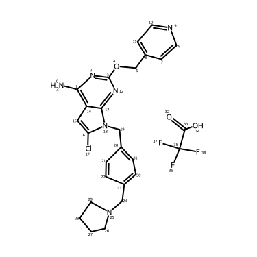 Nc1nc(OCc2ccncc2)nc2c1cc(Cl)n2Cc1ccc(CN2CCCC2)cc1.O=C(O)C(F)(F)F